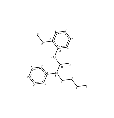 CCCCN(c1ccccc1)C(C)Oc1ccccc1CC